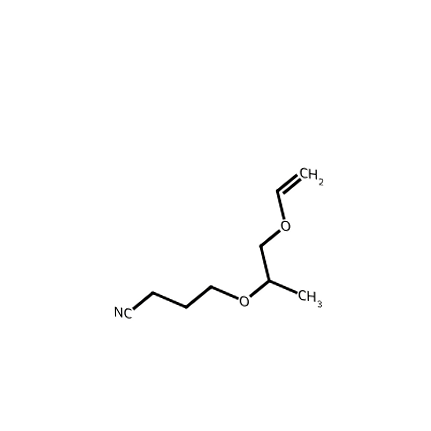 C=COCC(C)OCCCC#N